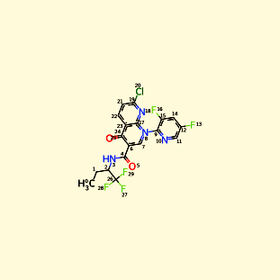 CCC(NC(=O)c1cn(-c2ncc(F)cc2F)c2nc(Cl)ccc2c1=O)C(F)(F)F